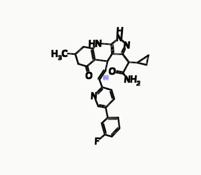 CC1CC(=O)C2=C(C1)Nc1[nH]nc(C(C(N)=O)C3CC3)c1C2/C=C/c1ccc(-c2cccc(F)c2)cn1